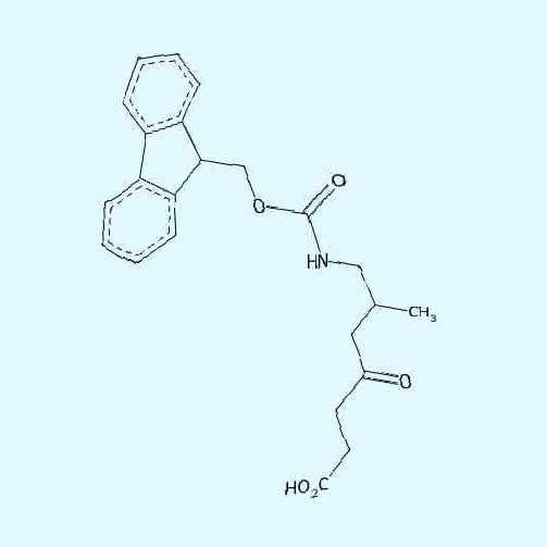 CC(CNC(=O)OCC1c2ccccc2-c2ccccc21)CC(=O)CCC(=O)O